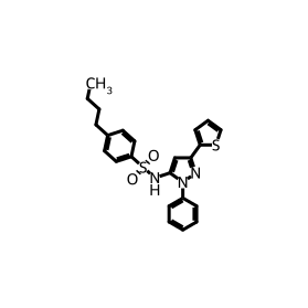 CCCCc1ccc(S(=O)(=O)Nc2cc(-c3cccs3)nn2-c2ccccc2)cc1